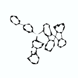 c1ccc(-c2ccc(N(c3ccc4c(c3)oc3ccccc34)c3cccc4c3-c3ccccc3C43c4ccccc4-c4ccccc43)cc2)cc1